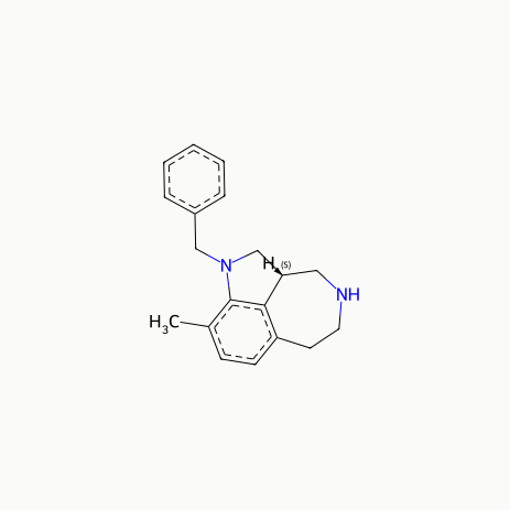 Cc1ccc2c3c1N(Cc1ccccc1)C[C@@H]3CNCC2